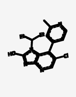 CCC(CC)n1c(O)nc2ncc(Cl)c(-c3ccnc(C)c3)c21